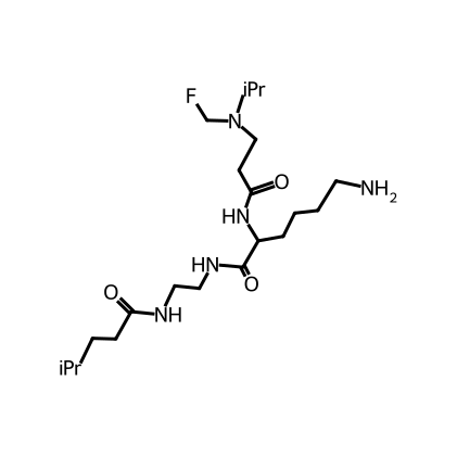 CC(C)CCC(=O)NCCNC(=O)C(CCCCN)NC(=O)CCN(CF)C(C)C